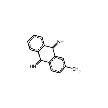 Cc1ccc2c(c1)C(=N)c1ccccc1C2=N